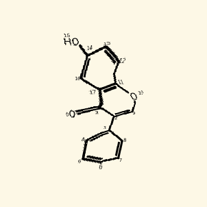 O=c1c(-c2ccccc2)coc2ccc(O)cc12